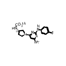 CCCc1cc(N2CC[C@H](NC(=O)O)C2)nc(Nc2ccc(F)cc2)n1